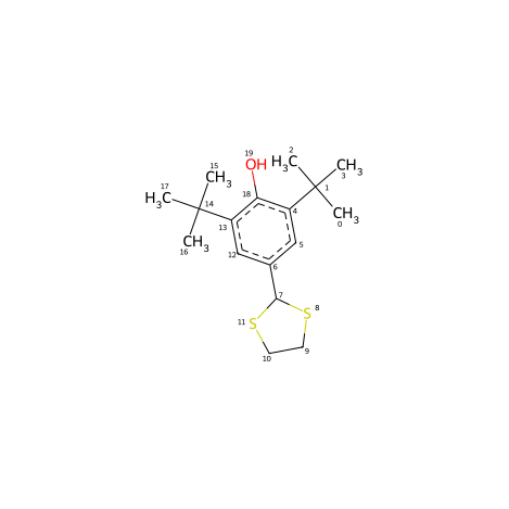 CC(C)(C)c1cc(C2SCCS2)cc(C(C)(C)C)c1O